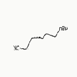 CCCCCCCC[CH]C#N